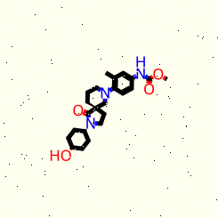 COC(=O)Nc1ccc(N2CCC[C@]3(CCN([C@H]4CC[C@H](O)CC4)C3=O)C2)c(C)c1